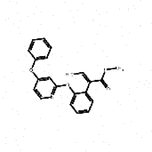 C/C=C(/C(=O)OC)c1ccccc1Oc1cc(Oc2ccccc2)ccn1